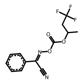 CC(CC(F)(F)F)OC(=O)ON=C(C#N)c1ccccc1